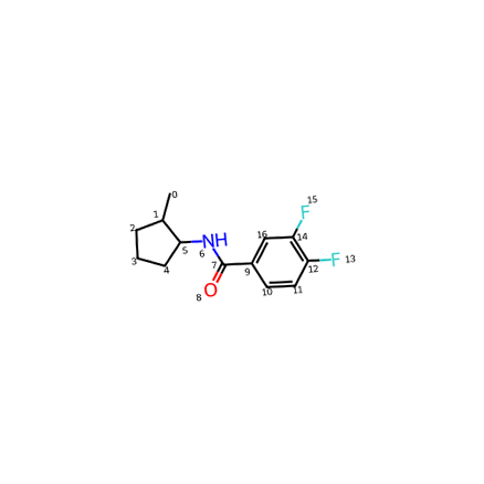 CC1CCCC1NC(=O)c1ccc(F)c(F)c1